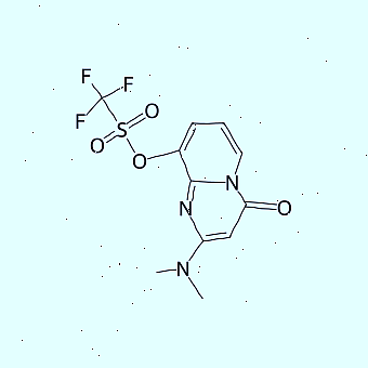 CN(C)c1cc(=O)n2cccc(OS(=O)(=O)C(F)(F)F)c2n1